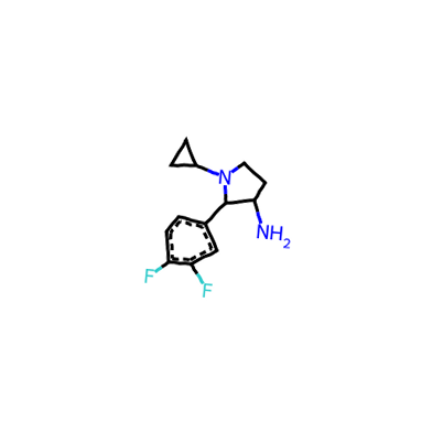 NC1CCN(C2CC2)C1c1ccc(F)c(F)c1